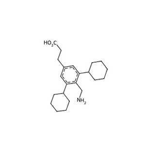 NCc1c(C2CCCCC2)cc(CCC(=O)O)cc1C1CCCCC1